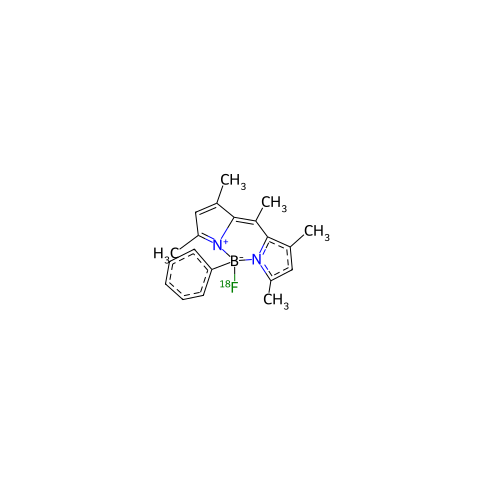 CC1=CC(C)=[N+]2C1=C(C)c1c(C)cc(C)n1[B-]2([18F])c1ccccc1